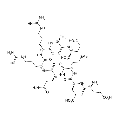 CSCC[C@H](NC(=O)[C@H](CCC(=O)O)NC(=O)[C@@H](N)CCC(=O)O)C(=O)N[C@@H](CCC(N)=O)C(=O)N[C@@H](CCCNC(=N)N)C(=O)N[C@@H](CCCNC(=N)N)C(=O)N[C@@H](C)C(=O)N[C@@H](CCC(=O)O)C(=O)O